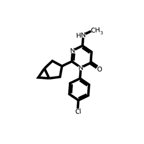 CNc1cc(=O)n(-c2ccc(Cl)cc2)c(C2CC3CC3C2)n1